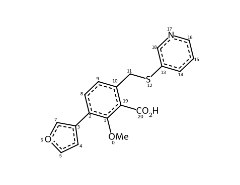 COc1c(-c2ccoc2)ccc(CSc2cccnc2)c1C(=O)O